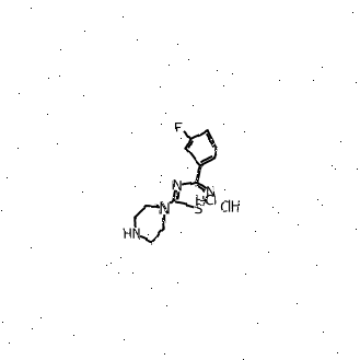 Cl.Cl.Fc1cccc(-c2nsc(N3CCNCC3)n2)c1